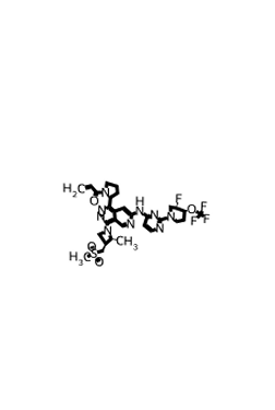 C=CC(=O)N1CCCC1c1nnc(N2C[C@H](CS(C)(=O)=O)[C@H]2C)c2cnc(Nc3ccnc(N4CC[C@@H](OC(F)(F)F)[C@@H](F)C4)n3)cc12